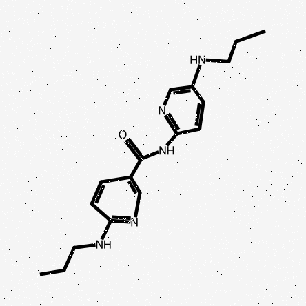 CCCNc1ccc(NC(=O)c2ccc(NCCC)nc2)nc1